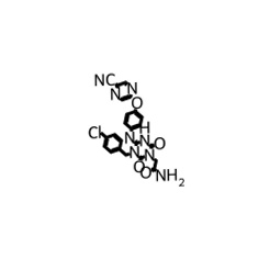 N#Cc1cnc(Oc2ccc(/N=c3\[nH]c(=O)n(CC(N)=O)c(=O)n3Cc3ccc(Cl)cc3)cc2)cn1